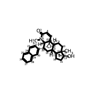 CN1C(=O)C=C[C@]2(C)[C@H]3CC[C@]4(C)[C@@H](O)CC[C@H]4[C@@H]3C[C@H](c3ccc4ccccc4c3)[C@@H]12